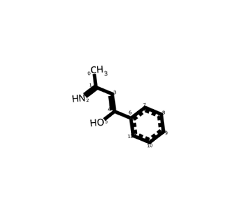 CC(=N)/C=C(\O)c1ccccc1